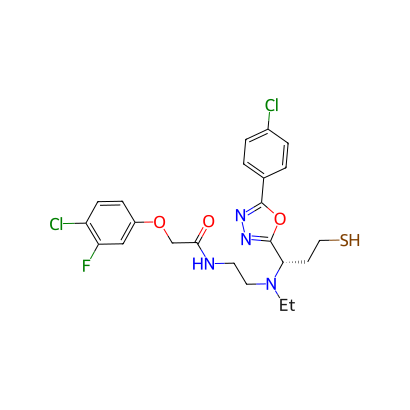 CCN(CCNC(=O)COc1ccc(Cl)c(F)c1)[C@@H](CCS)c1nnc(-c2ccc(Cl)cc2)o1